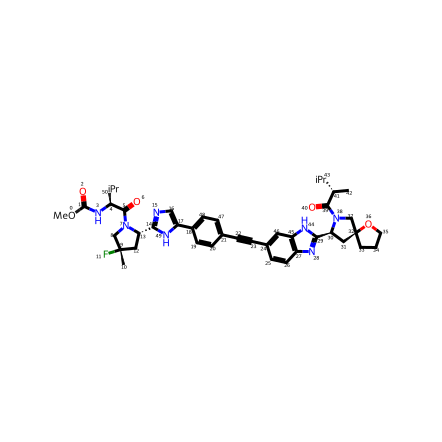 COC(=O)N[C@H](C(=O)N1C[C@@](C)(F)C[C@H]1c1ncc(-c2ccc(C#Cc3ccc4nc([C@@H]5C[C@@]6(CCCO6)CN5C(=O)[C@@H](C)C(C)C)[nH]c4c3)cc2)[nH]1)C(C)C